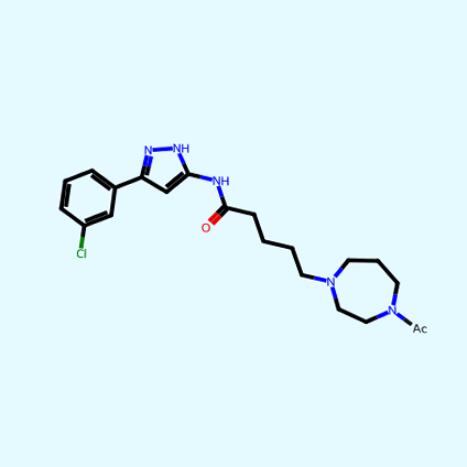 CC(=O)N1CCCN(CCCCC(=O)Nc2cc(-c3cccc(Cl)c3)n[nH]2)CC1